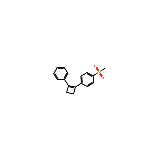 CS(=O)(=O)c1ccc(C2=C(c3ccccc3)CC2)cc1